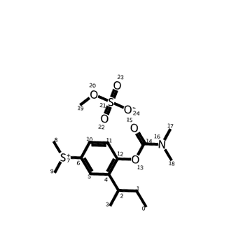 CCC(C)c1cc([S+](C)C)ccc1OC(=O)N(C)C.COS(=O)(=O)[O-]